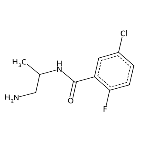 CC(CN)NC(=O)c1cc(Cl)ccc1F